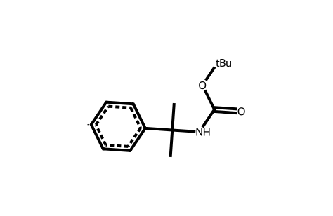 CC(C)(C)OC(=O)NC(C)(C)c1cc[c]cc1